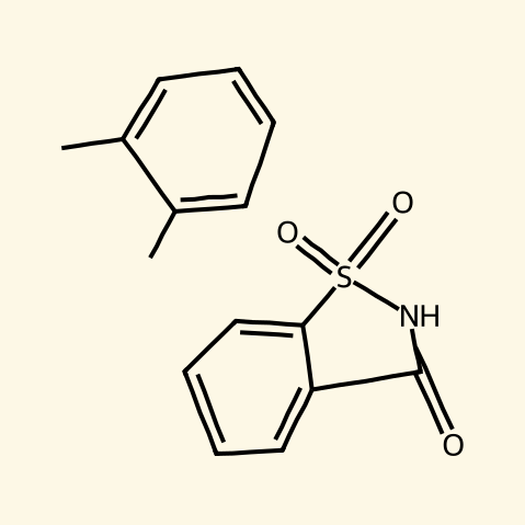 Cc1ccccc1C.O=C1NS(=O)(=O)c2ccccc21